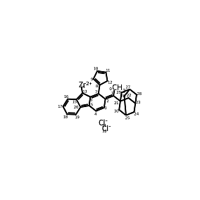 CC(=c1ccc2c(c1C1=CC=CC1)[C]([Zr+2])=c1ccccc1=2)C12CC3CC(CC(C3)C1)C2.[Cl-].[Cl-]